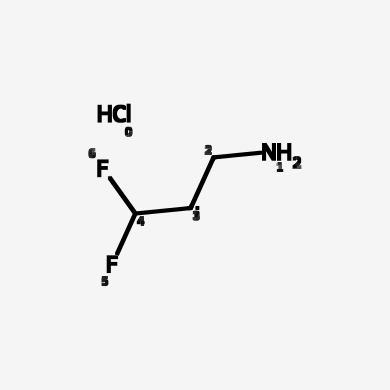 Cl.NC[CH]C(F)F